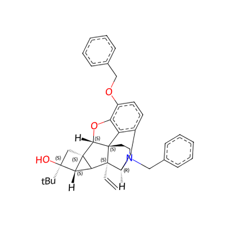 C=C[C@]12C3[C@H]4[C@@]3(C[C@@]4(O)C(C)(C)C)[C@@H]3Oc4c(OCc5ccccc5)ccc5c4[C@@]31CCN(Cc1ccccc1)[C@@H]2C5